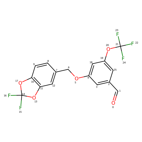 O=Cc1cc(OCc2ccc3c(c2)OC(F)(F)O3)cc(OC(F)(F)F)c1